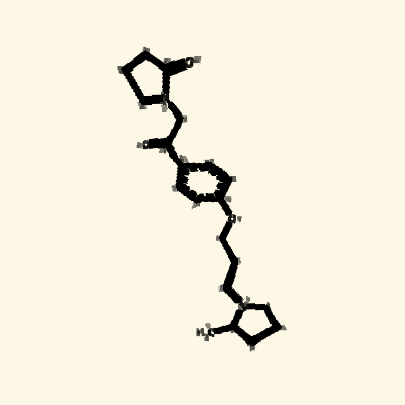 CC1CCCN1CCCOc1ccc(C(=O)CN2CCCC2=O)cc1